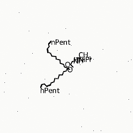 CCCCC/C=C\C/C=C\CCCCCCCCC1(CCCCCCCC/C=C\C/C=C\CCCCC)OCC(CNCC(C)NC(C)C)O1